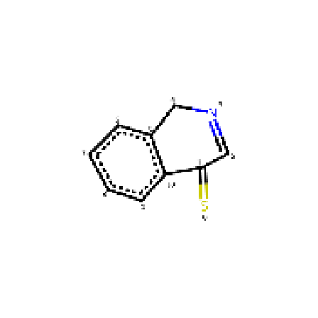 S=C1C=NCc2ccccc21